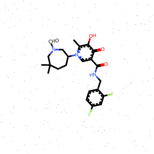 Cc1c(O)c(=O)c(C(=O)NCc2ccc(F)cc2F)cn1C1CCC(C)(C)CN(C=O)C1